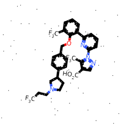 O=C(O)c1cnn(-c2cccc(-c3cccc(C(F)(F)F)c3OCc3ccc(C4CCN(CCC(F)(F)F)C4)cc3)n2)c1C(F)(F)F